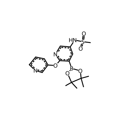 CC1(C)OB(c2cc(NS(C)(=O)=O)cnc2Oc2cccnc2)OC1(C)C